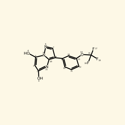 Oc1cc(O)n2ncc(-c3cccc(OC(F)(F)F)c3)c2n1